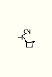 CN(C#N)C1CCC1